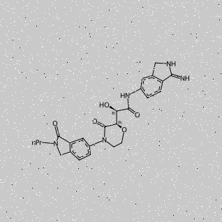 CCCN1Cc2ccc(N3CCO[C@H]([C@@H](O)C(=O)Nc4ccc5c(c4)CNC5=N)C3=O)cc2C1=O